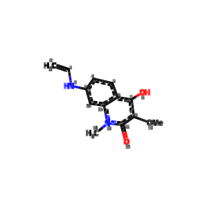 C=CNc1ccc2c(O)c(OC)c(=O)n(C)c2c1